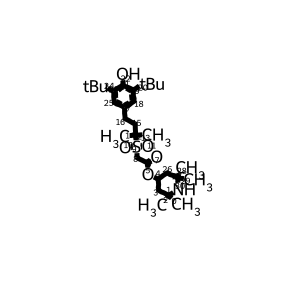 CC1(C)CC(OC(=O)CS(=O)(=O)C(C)(C)CCc2cc(C(C)(C)C)c(O)c(C(C)(C)C)c2)CC(C)(C)N1